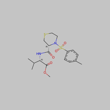 COC(=O)[C@@H](NC(=O)[C@@H]1CSCCN1S(=O)(=O)c1ccc(C)cc1)C(C)C